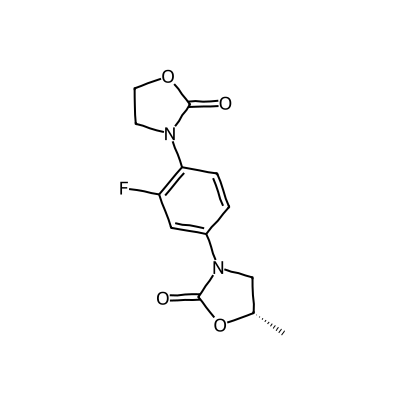 C[C@H]1CN(c2ccc(N3CCOC3=O)c(F)c2)C(=O)O1